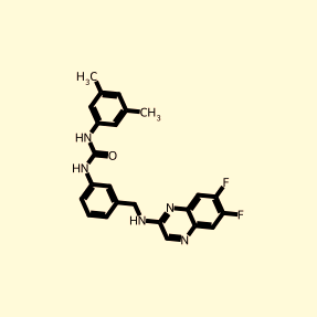 Cc1cc(C)cc(NC(=O)Nc2cccc(CNc3cnc4cc(F)c(F)cc4n3)c2)c1